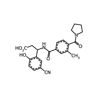 Cc1cc(C(=O)NC(CC(=O)O)c2cc(C#N)ccc2O)ccc1C(=O)N1CCCC1